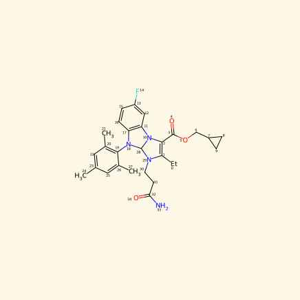 CCC1=C(C(=O)OCC2CC2)N2c3cc(F)ccc3N(c3c(C)cc(C)cc3C)C2N1CCC(N)=O